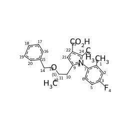 Cc1cc(F)ccc1-n1c(C[C@H](C)OCc2ccccc2)cc(C(=O)O)c1C